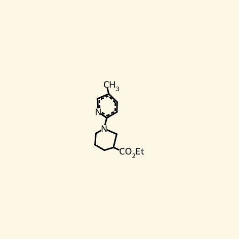 CCOC(=O)C1CCCN(c2ccc(C)cn2)C1